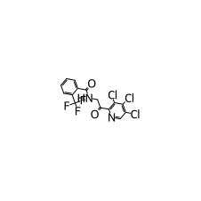 O=C(NCC(=O)c1ncc(Cl)c(Cl)c1Cl)c1ccccc1C(F)(F)F